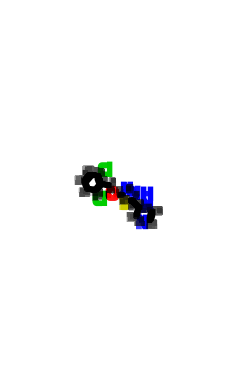 ClC1=C(COc2nnc(C3C=NC=CN3)s2)C(Cl)CC=C1